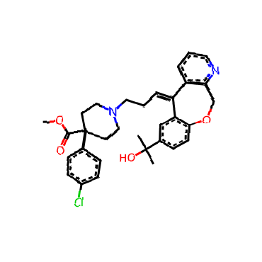 COC(=O)C1(c2ccc(Cl)cc2)CCN(CC/C=C2\c3cc(C(C)(C)O)ccc3OCc3ncccc32)CC1